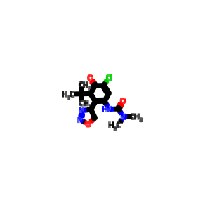 CN(C)C(=O)NC1=C(C2CON=N2)C(C(C)(C)C)C(=O)C(Cl)=C1